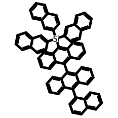 c1ccc2cc([Si](c3ccc4ccccc4c3)(c3ccc4ccccc4c3)c3c4ccccc4c(-c4c5ccccc5c(-c5cccc6ccccc56)c5ccccc45)c4ccccc34)ccc2c1